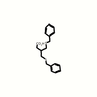 O=C(O)CC(CSCc1ccccc1)CSCc1ccccc1